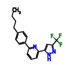 CCCCc1ccc(-c2cccc(-c3cc(C(F)(F)F)n[nH]3)n2)cc1